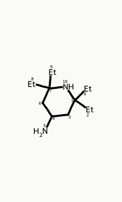 CCC1(CC)CC(N)CC(CC)(CC)N1